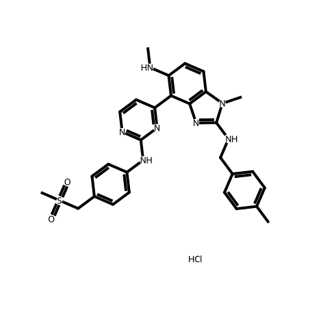 CNc1ccc2c(nc(NCc3ccc(C)cc3)n2C)c1-c1ccnc(Nc2ccc(CS(C)(=O)=O)cc2)n1.Cl